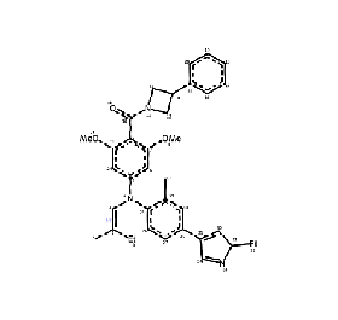 CC/C(C)=C\N(c1cc(OC)c(C(=O)N2CC(c3ccccc3)C2)c(OC)c1)c1ccc(C2=CC(CC)N=C2)cc1C